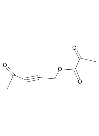 CC(=O)C#CCOC(=O)C(C)=O